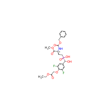 CCOC(=O)COc1c(F)cc(C(O)P(=O)(O)CC[C@H](NC(=O)OCc2ccccc2)C(=O)OC)cc1F